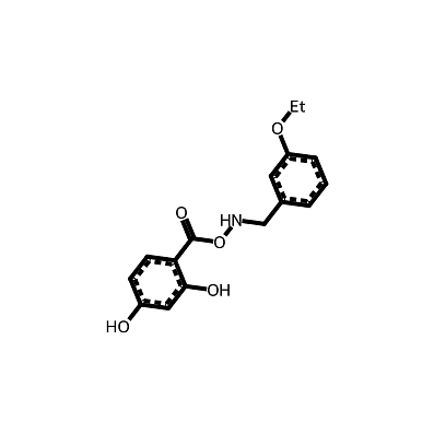 CCOc1cccc(CNOC(=O)c2ccc(O)cc2O)c1